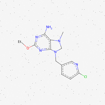 CCOc1nc(N)c2c(n1)N(Cc1ccc(Cl)nc1)CN2C